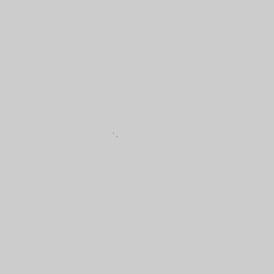 C1=c2c(oc3ccccc23)=C(N(c2ccc(-c3ccccc3)cc2)c2ccc(-c3cccc4c3oc3ccccc34)c(-c3ccccc3)c2)CC1